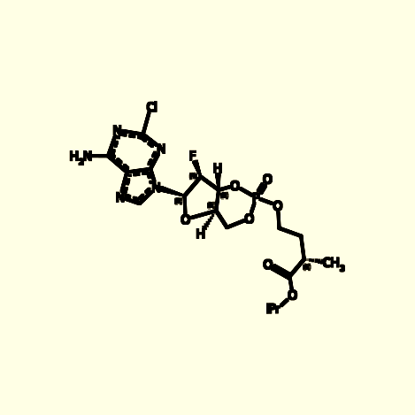 CC(C)OC(=O)[C@@H](C)CCOP1(=O)OC[C@H]2O[C@@H](n3cnc4c(N)nc(Cl)nc43)[C@@H](F)[C@@H]2O1